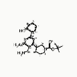 CC(C)(C)OC(=O)N1CCCC(c2cc(-c3ccccc3O)nc([AsH2])c2CN)C1